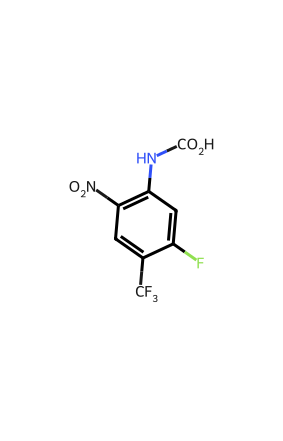 O=C(O)Nc1cc(F)c(C(F)(F)F)cc1[N+](=O)[O-]